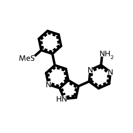 CSc1ccccc1-c1cnc2[nH]cc(-c3ccnc(N)n3)c2c1